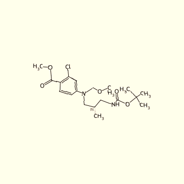 COCN(C[C@@H](C)CNC(=O)OC(C)(C)C)c1ccc(C(=O)OC)c(Cl)c1